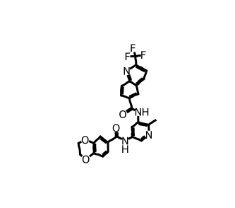 Cc1ncc(NC(=O)c2ccc3c(c2)OCCO3)cc1NC(=O)c1ccc2nc(C(F)(F)F)ccc2c1